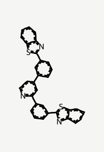 c1cc(-c2ccnc(-c3cccc(-c4nc5ccccc5s4)c3)c2)cc(-c2nc3ccccc3s2)c1